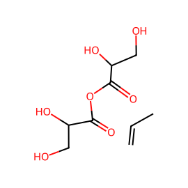 C=CC.O=C(OC(=O)C(O)CO)C(O)CO